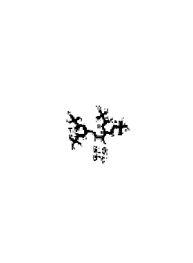 CC(/C=C/c1cc(C(C)(C)C)[te+]c(C(C)(C)C)c1)=C1C=C(C(C)(C)C)[Se]C(C(C)(C)C)=C1.[O-][Cl+3]([O-])([O-])[O-]